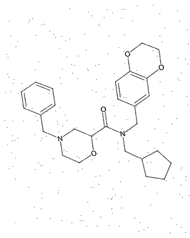 O=C(C1CN(Cc2ccccc2)CCO1)N(Cc1ccc2c(c1)OCCO2)CC1CCCC1